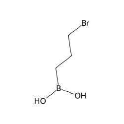 OB(O)CCCBr